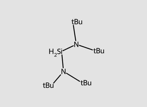 CC(C)(C)N([SiH2]N(C(C)(C)C)C(C)(C)C)C(C)(C)C